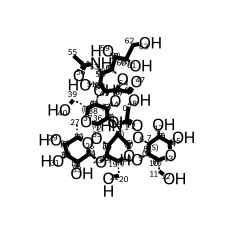 CC(=O)N[C@H]1[C@H](O[C@H]2[C@@H](O)[C@@H](CO)OC(O)[C@@H]2O)O[C@H](CO)[C@@H](O[C@@H]2O[C@@H](C)[C@@H](O)[C@@H](O)[C@@H]2O)[C@@H]1O[C@@H]1O[C@H](CO)[C@H](O)[C@H](O[C@]2(C(=O)O)C[C@H](O)[C@@H](NC(C)=O)[C@H]([C@H](O)[C@H](O)CO)O2)[C@H]1O